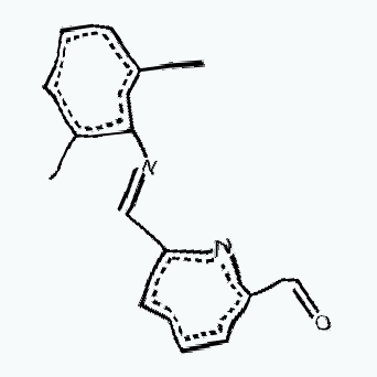 Cc1cccc(C)c1/N=C/c1cccc(C=O)n1